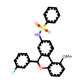 COc1cccc2c1-c1ccc(NS(=O)(=O)c3ccccc3)cc1C(c1cccc(F)c1)O2